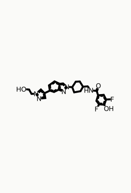 O=C(NCC1CCC(n2cc3ccc(-c4cnn(CCO)c4)cc3n2)CC1)c1cc(F)c(O)c(F)c1